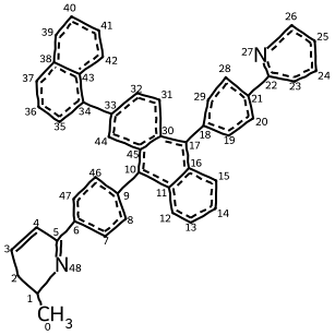 CC1CC=CC(c2ccc(-c3c4ccccc4c(-c4ccc(-c5ccccn5)cc4)c4ccc(-c5cccc6ccccc56)cc34)cc2)=N1